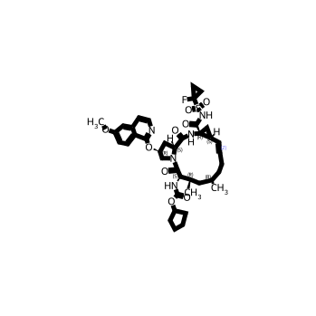 COc1ccc2c(O[C@@H]3C[C@H]4C(=O)N[C@]5(C(=O)NS(=O)(=O)C6(F)CC6)C[C@H]5/C=C\CC[C@@H](C)C[C@@H](C)[C@H](NC(=O)OC5CCCC5)C(=O)N4C3)nccc2c1